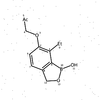 CCc1c(OCC(C)=O)ccc2c1B(O)OC2